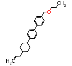 C=CCC1CCC(c2ccc(-c3ccc(COCCC)cc3)cc2)CC1